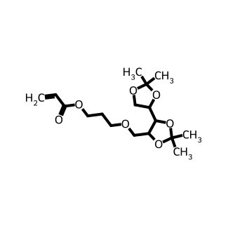 C=CC(=O)OCCCOCC1OC(C)(C)OC1C1COC(C)(C)O1